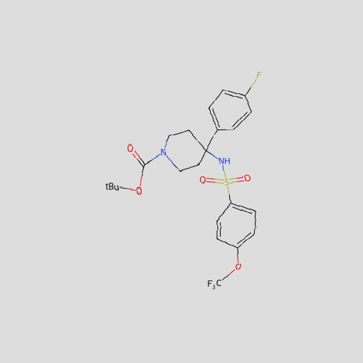 CC(C)(C)OC(=O)N1CCC(NS(=O)(=O)c2ccc(OC(F)(F)F)cc2)(c2ccc(F)cc2)CC1